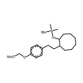 COCOc1ccc(CCC2CCCCCCC2O[Si](C)(C)C(C)(C)C)cc1